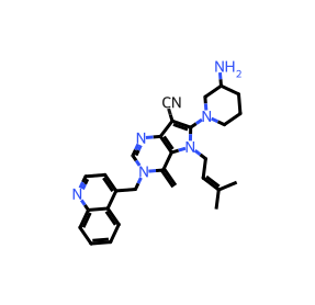 C=C1c2c(c(C#N)c(N3CCCC(N)C3)n2CC=C(C)C)N=CN1Cc1ccnc2ccccc12